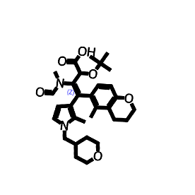 Cc1c(/C(=C(\C(OC(C)(C)C)C(=O)O)N(C)C=O)c2ccn(CC3CCOCC3)c2C)ccc2c1CCCO2